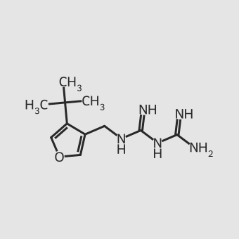 CC(C)(C)c1cocc1CNC(=N)NC(=N)N